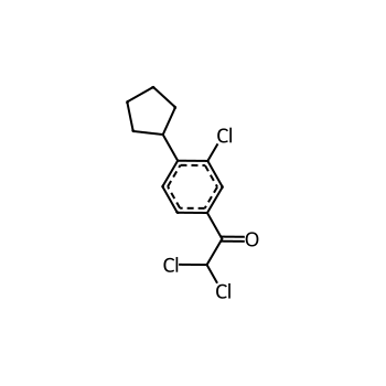 O=C(c1ccc(C2CCCC2)c(Cl)c1)C(Cl)Cl